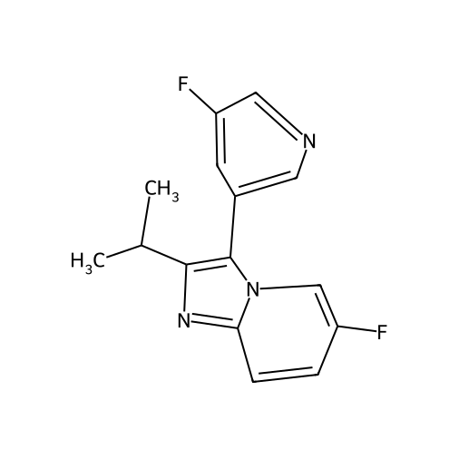 CC(C)c1nc2ccc(F)cn2c1-c1cncc(F)c1